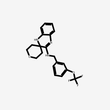 FC(F)(F)Oc1cccc(CNC2=Nc3ccccc3NC23CCOCC3)c1